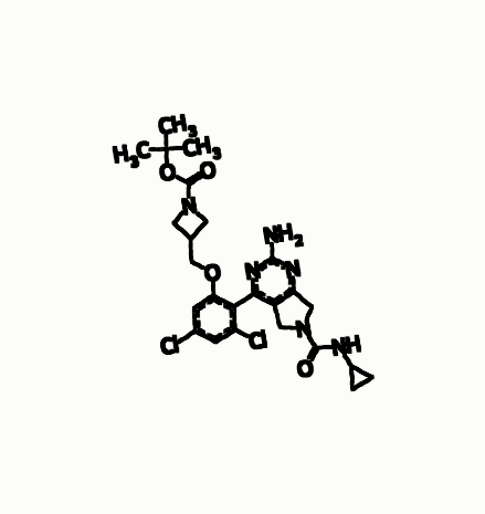 CC(C)(C)OC(=O)N1CC(COc2cc(Cl)cc(Cl)c2-c2nc(N)nc3c2CN(C(=O)NC2CC2)C3)C1